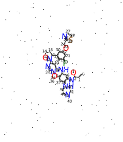 C=CC(=O)Nc1cc(Nc2cc(N3OCCC3c3cc(F)cc(OCc4nccs4)c3)ncn2)c(OC)cc1N1CCN(C)CC1